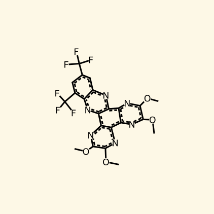 COc1nc2c3nc(OC)c(OC)nc3c3nc4c(C(F)(F)F)cc(C(F)(F)F)cc4nc3c2nc1OC